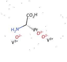 CC(C)[C@H](N)C(=O)O.[O-2].[O-2].[O-2].[V+3].[V+3]